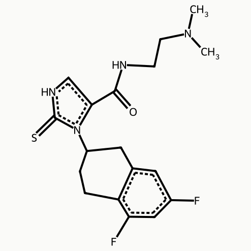 CN(C)CCNC(=O)c1c[nH]c(=S)n1C1CCc2c(F)cc(F)cc2C1